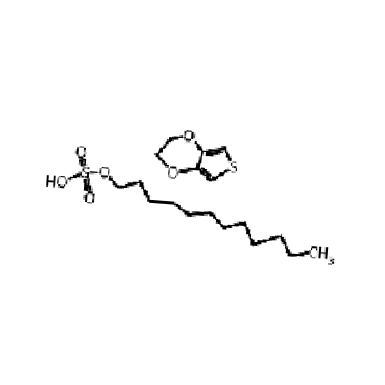 CCCCCCCCCCCCOS(=O)(=O)O.c1scc2c1OCCO2